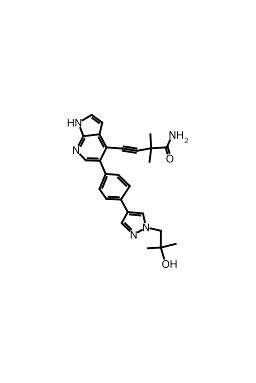 CC(C)(O)Cn1cc(-c2ccc(-c3cnc4[nH]ccc4c3C#CC(C)(C)C(N)=O)cc2)cn1